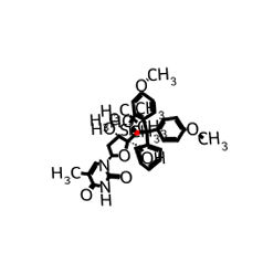 COc1ccc(C(c2ccccc2)(c2ccc(OC)cc2)C(O)[C@@]2(CO)O[C@@H](n3cc(C)c(=O)[nH]c3=O)C[C@@]2(O)[Si](C)(C)C(C)(C)C)cc1